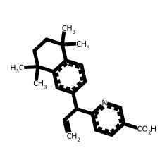 C=CC(c1ccc2c(c1)C(C)(C)CCC2(C)C)c1ccc(C(=O)O)cn1